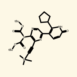 CC(C)(C)OC(=O)N(C(=O)OC(C)(C)C)c1ncc(-c2ccc(=O)[nH]c2C2CCCC2)nc1C#C[Si](C)(C)C